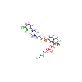 CCCCCCOC(=O)OCN1C(=O)CCc2ccc(OCCCCN3CCN(c4cccc(Cl)c4Cl)CC3)cc21